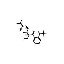 C=C/C(C(=C)c1ccccc1C(C)C(C)(C)C)=C(C)/C=C\C(F)=C(C)C